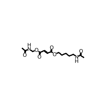 CC(=O)NCCCCCOC(=O)/C=C/C(=O)OCNC(C)=O